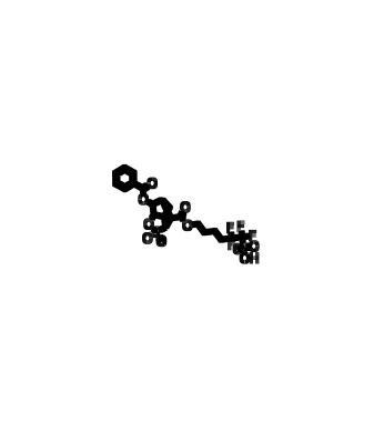 O=C(OC1C2CC3C1OS(=O)(=O)C3C2C(=O)OCCCCC(F)(F)C(F)(F)S(=O)(=O)O)c1ccccc1